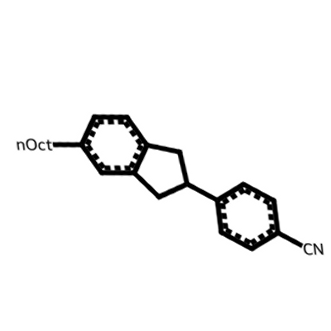 CCCCCCCCc1ccc2c(c1)CC(c1ccc(C#N)cc1)C2